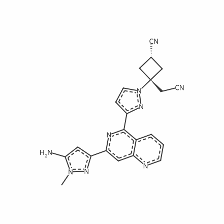 Cn1nc(-c2cc3ncccc3c(-c3ccn([C@]4(CC#N)C[C@H](C#N)C4)n3)n2)cc1N